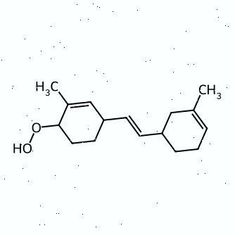 CC1=CCCC(C=CC2C=C(C)C(OO)CC2)C1